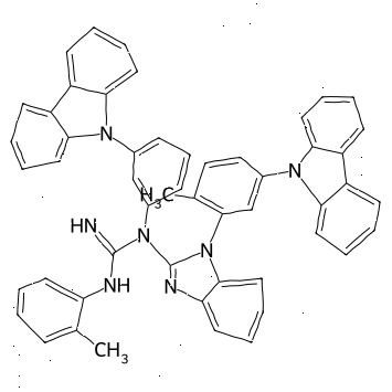 Cc1ccccc1NC(=N)N(c1cccc(-n2c3ccccc3c3ccccc32)c1)c1nc2ccccc2n1-c1cc(-n2c3ccccc3c3ccccc32)ccc1C